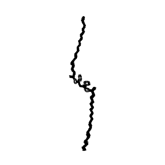 CCCCCCCCCCCCCCCCCC(C)OC(=O)CC(=O)OC(C)CCCCCCCCCCCCCCCCC